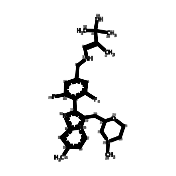 C/C(=C\NCc1cc(F)c(-c2nc3cc(C)ccn3c2CC2CN(C)CCO2)c(F)c1)C(C)(C)O